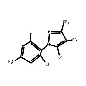 N#Cc1c(C(F)(F)F)nn(-c2c(Cl)cc(C(F)(F)F)cc2Cl)c1Br